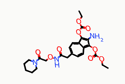 CCOC(=O)Oc1c2ccc(CC(=O)NOCC(=O)N3CCCCC3)ccc-2c(OC(=O)OCC)c1N